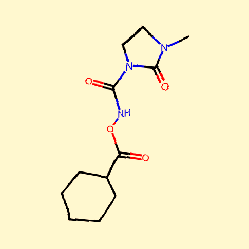 CN1CCN(C(=O)NOC(=O)C2CCCCC2)C1=O